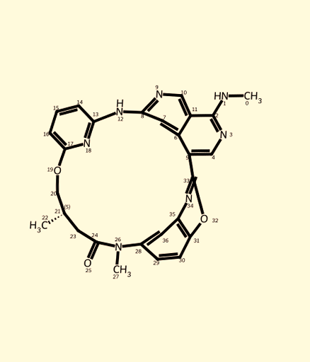 CNc1ncc2c3cc(ncc13)Nc1cccc(n1)OC[C@@H](C)CC(=O)N(C)c1ccc3oc-2nc3c1